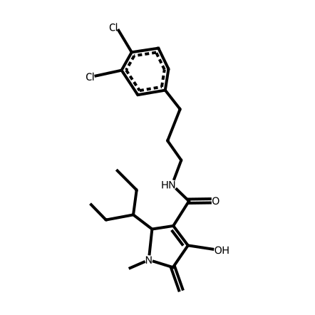 C=C1C(O)=C(C(=O)NCCCc2ccc(Cl)c(Cl)c2)C(C(CC)CC)N1C